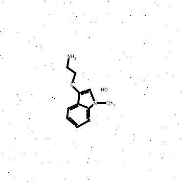 Cl.Cn1cc(SCCN)c2ccccc21